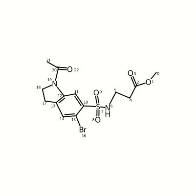 COC(=O)CCNS(=O)(=O)c1cc2c(cc1Br)CCN2C(C)=O